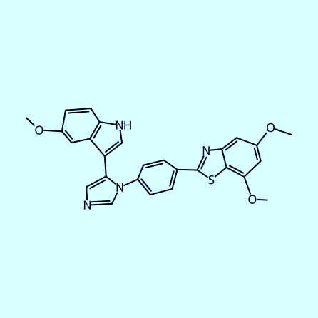 COc1cc(OC)c2sc(-c3ccc(-n4cncc4-c4c[nH]c5ccc(OC)cc45)cc3)nc2c1